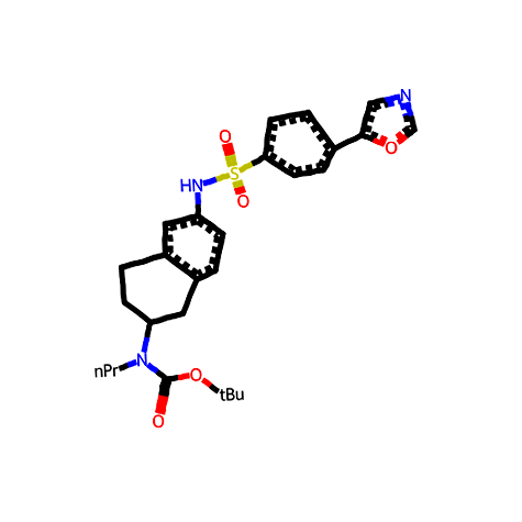 CCCN(C(=O)OC(C)(C)C)C1CCc2cc(NS(=O)(=O)c3ccc(-c4cnco4)cc3)ccc2C1